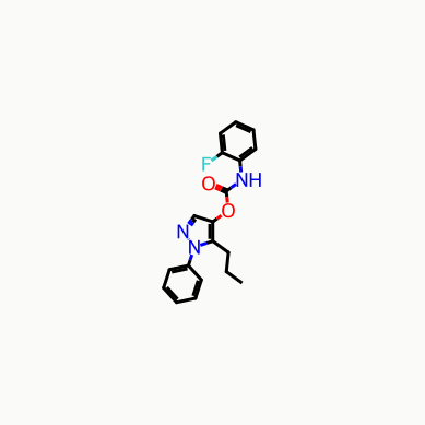 CCCc1c(OC(=O)Nc2ccccc2F)cnn1-c1ccccc1